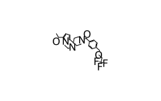 CC(=O)c1ccc2n1CCN(C)C21CCN(C(=O)c2ccc(COCC(F)(F)F)cc2)CC1